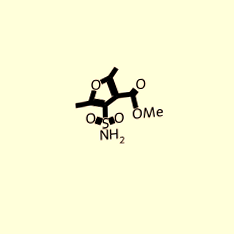 COC(=O)c1c(C)oc(C)c1S(N)(=O)=O